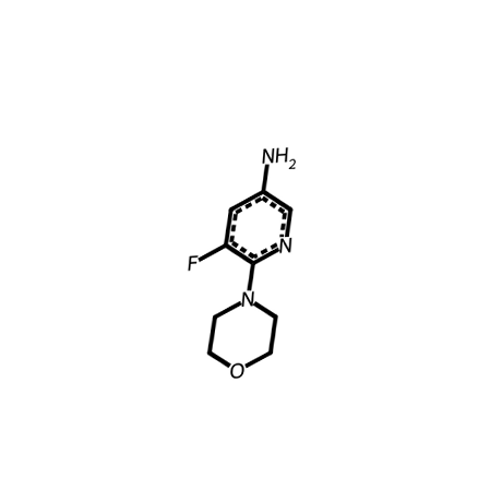 Nc1cnc(N2CCOCC2)c(F)c1